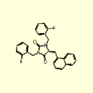 O=C1/C(=C\c2cccc3ccccc23)N(Cc2ccccc2F)C(=O)N1Cc1ccccc1F